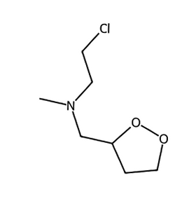 CN(CCCl)CC1CCOO1